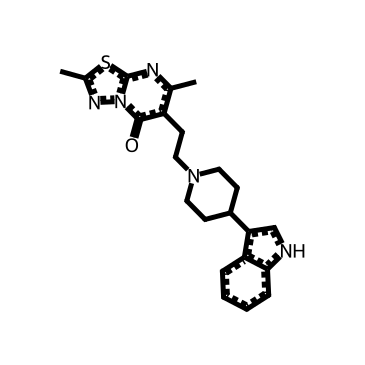 Cc1nn2c(=O)c(CCN3CCC(c4c[nH]c5ccccc45)CC3)c(C)nc2s1